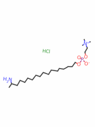 CC(N)CCCCCCCCCCCCCCCCOP(=O)([O-])OCC[N+](C)(C)C.Cl